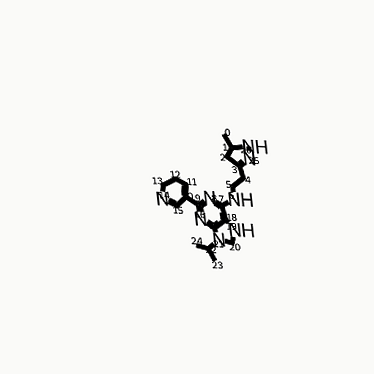 CC1CC(CCNc2nc(C3=CCCN=C3)nc3c2NCN3C(C)C)=NN1